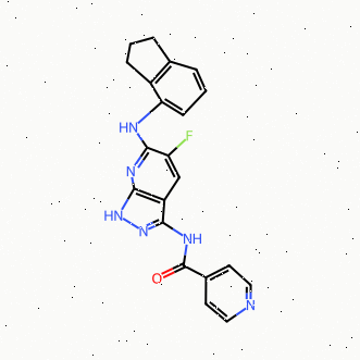 O=C(Nc1n[nH]c2nc(Nc3cccc4c3CCC4)c(F)cc12)c1ccncc1